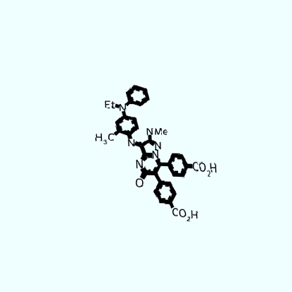 CCN(c1ccccc1)c1ccc(N=C2C(NC)=Nn3c2nc(=O)c(-c2ccc(C(=O)O)cc2)c3-c2ccc(C(=O)O)cc2)c(C)c1